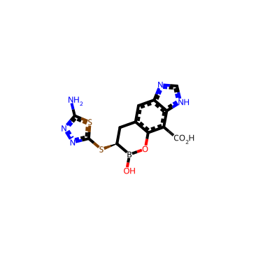 Nc1nnc(S[C@H]2Cc3cc4nc[nH]c4c(C(=O)O)c3OB2O)s1